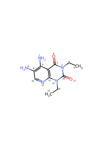 CCn1c(=O)c2c(N)c(N)cnc2n(CC)c1=O